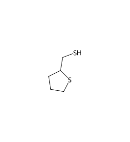 SCC1CCCS1